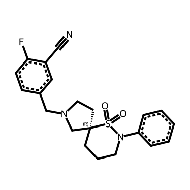 N#Cc1cc(CN2CC[C@]3(CCCN(c4ccccc4)S3(=O)=O)C2)ccc1F